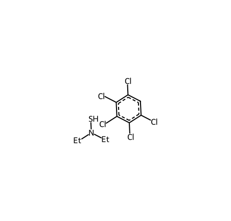 CCN(S)CC.Clc1cc(Cl)c(Cl)c(Cl)c1Cl